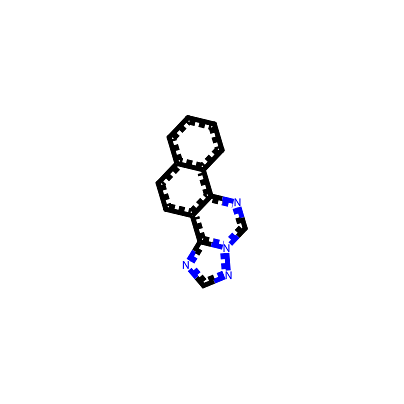 c1ccc2c(c1)ccc1c2ncn2ncnc12